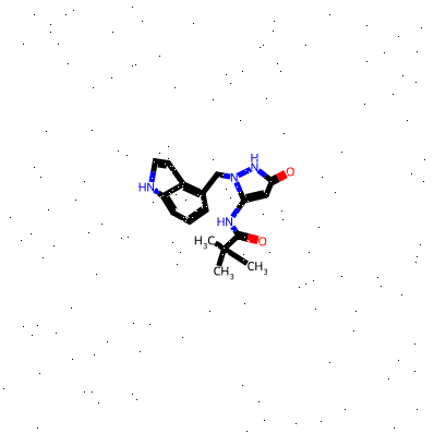 CC(C)(C)C(=O)Nc1cc(=O)[nH]n1Cc1cccc2[nH]ccc12